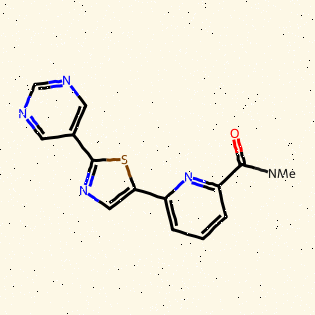 CNC(=O)c1cccc(-c2cnc(-c3cncnc3)s2)n1